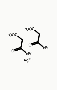 CCCC(=O)CC(=O)[O-].CCCC(=O)CC(=O)[O-].[Ag+2]